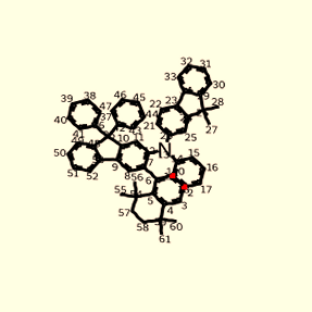 Cc1ccc2c(c1-c1cc3c(cc1N(c1ccccc1)c1ccc4c(c1)C(C)(C)c1ccccc1-4)C(c1ccccc1)(c1ccccc1)c1ccccc1-3)C(C)(C)CCC2(C)C